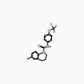 Cc1ccc2c(c1)CCCN2C(=O)Nc1ccc(OC(F)(F)F)cc1